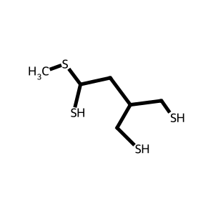 CSC(S)CC(CS)CS